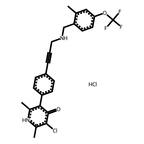 Cc1cc(OC(F)(F)F)ccc1CNCC#Cc1ccc(-c2c(C)[nH]c(C)c(Cl)c2=O)cc1.Cl